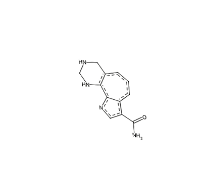 NC(=O)c1cnc2c3c(cccc1-2)CNCN3